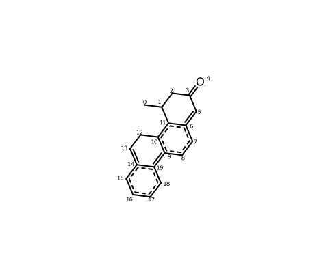 CC1CC(=O)C=c2ccc3c(c21)CC=c1ccccc1=3